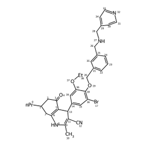 CCCC1CC(=O)C2=C(C1)NC(C)=C(C#N)C2c1cc(Br)c(OCc2cccc(CNCc3ccncc3)c2)c(OCC)c1